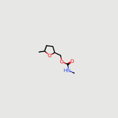 CNC(=O)OCC1CCC(C)O1